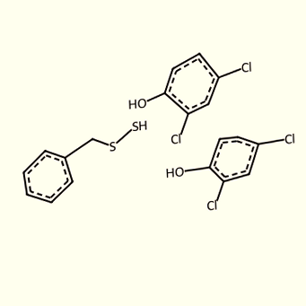 Oc1ccc(Cl)cc1Cl.Oc1ccc(Cl)cc1Cl.SSCc1ccccc1